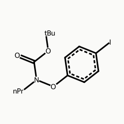 CCCN(Oc1ccc(I)cc1)C(=O)OC(C)(C)C